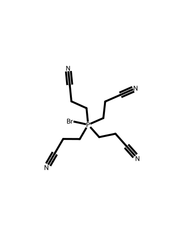 N#CCCP(Br)(CCC#N)(CCC#N)CCC#N